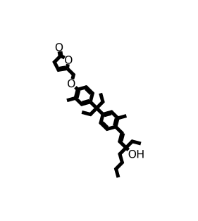 CCCCC(O)(C=Cc1ccc(C(CC)(CC)c2ccc(OCC3=CCC(=O)O3)c(C)c2)cc1C)CC